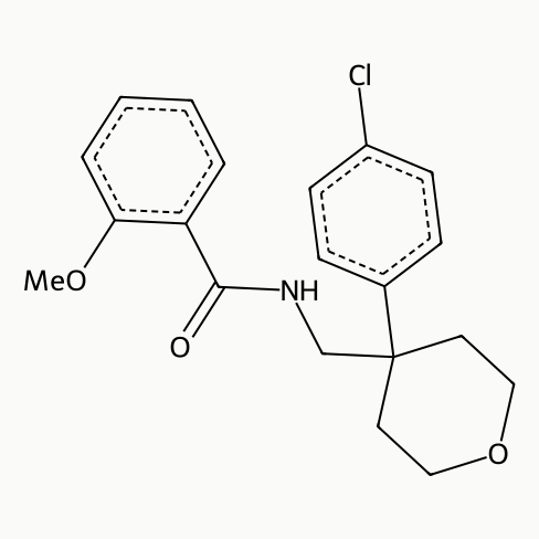 COc1ccccc1C(=O)NCC1(c2ccc(Cl)cc2)CCOCC1